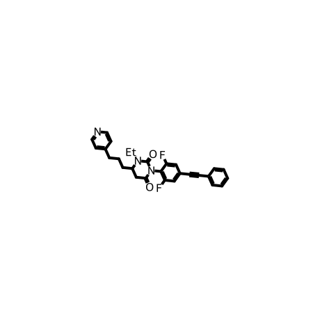 CCN1C(=O)N(c2c(F)cc(C#Cc3ccccc3)cc2F)C(=O)CC1CCCc1ccncc1